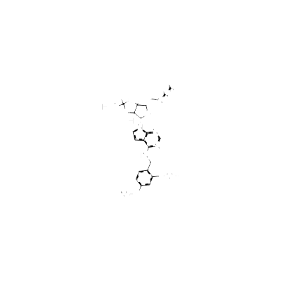 COc1ccc(CNc2ncnc3c2ccn3[C@@H]2O[C@H](CN=[N+]=[N-])[C@H]3OC(C)(C)O[C@@H]32)c(OC)c1